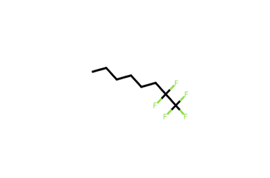 CCCCCCC(F)(F)C(F)(F)F